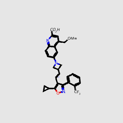 COCc1cc(C(=O)O)nc2ccc(N3CC(/C=C/c4c(-c5ccccc5C(F)(F)F)noc4C4CC4)C3)cc12